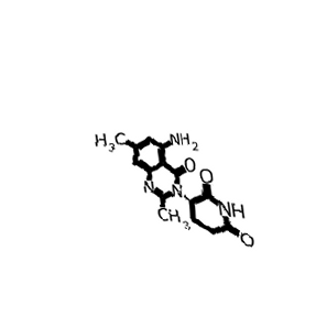 Cc1cc(N)c2c(=O)n([C@H]3CCC(=O)NC3=O)c(C)nc2c1